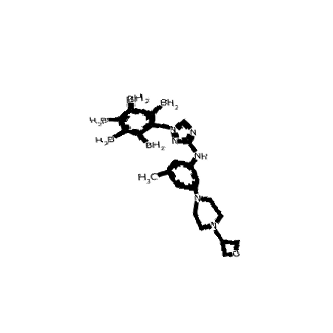 Bc1c(B)c(B)c(-n2cnc(Nc3cc(C)cc(N4CCN(C5COC5)CC4)c3)n2)c(B)c1B